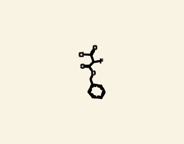 O=C(Cl)C(F)C(=O)OCc1ccccc1